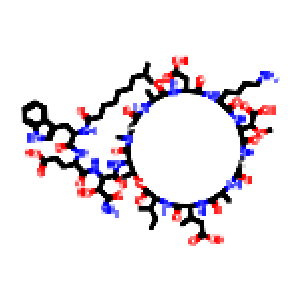 CCC(C)C1NC(=O)C(C(C)CC(=O)O)NC(=O)C(C)NC(=O)CNC(=O)C(C(OC)C(=O)O)NC(=O)C(CCCCN)NC(=O)C(CC(=O)O)NC(=O)C(C)NC(=O)CN(C)C(=O)C(NC(=O)C(NC(=O)C(CCC(=O)O)NC(=O)C(Cc2c[nH]c3ccccc23)NC(=O)CCCCCCC(C)C)C(O)C(N)=O)C(C)OC1=O